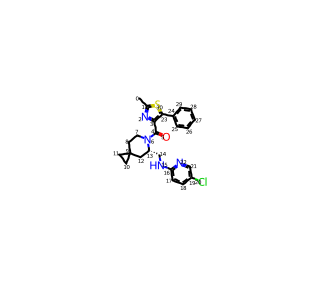 Cc1nc(C(=O)N2CCC3(CC3)C[C@H]2CNc2ccc(Cl)cn2)c(-c2ccccc2)s1